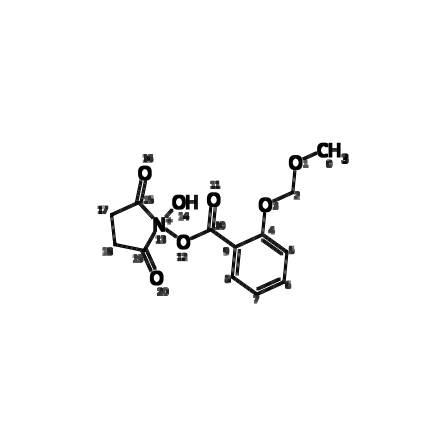 COCOc1ccccc1C(=O)O[N+]1(O)C(=O)CCC1=O